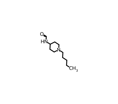 CCCCCN1CCC(NC=O)CC1